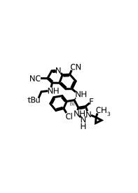 CC(C)(C)CNc1c(C#N)cnc2c(C#N)cc(N[C@H](C3=C(F)N(C4(C)CC4)NN3)c3ccccc3Cl)cc12